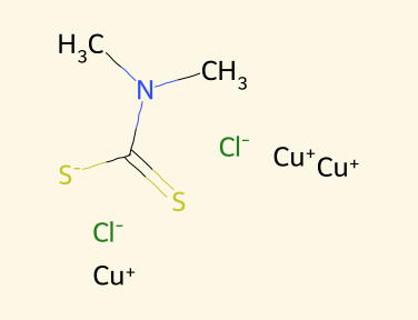 CN(C)C(=S)[S-].[Cl-].[Cl-].[Cu+].[Cu+].[Cu+]